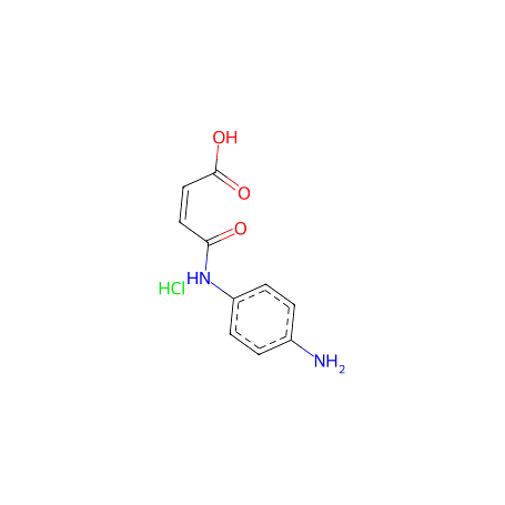 Cl.Nc1ccc(NC(=O)/C=C\C(=O)O)cc1